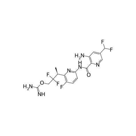 C[C@@H](c1nc(NC(=O)c2ncc(C(F)F)cc2N)ccc1F)C(F)(F)COC(=N)N